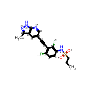 CCCS(=O)(=O)Nc1ccc(F)c(C#Cc2cnc3[nH]nc(C)c3c2)c1F